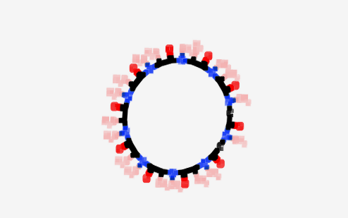 BC1C(=O)N(B)C(B)C(=O)N(B)C(B)C(=O)N(B)C(B)C(=O)N(B)C(B)C(=O)N(B)C(B)C(=O)N(B)C(B)C(=O)N(B)C(B)C(=O)N(B)CC(=O)N(B)CC(=O)N1B